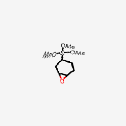 CO[Si](OC)(OC)C1CCC2OC2C1